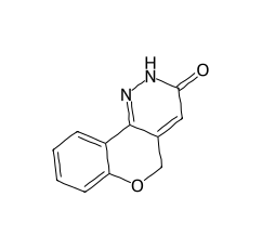 O=c1cc2c(n[nH]1)-c1ccccc1OC2